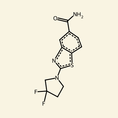 NC(=O)c1ccc2sc(N3CCC(F)(F)C3)nc2c1